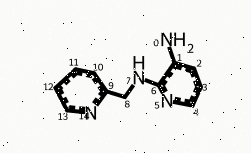 Nc1cccnc1NCc1ccccn1